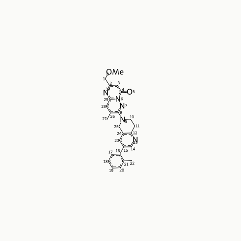 COCc1cc(=O)n2nc(N3CCc4ncc(-c5ccccc5C)cc4C3)c(C)cc2n1